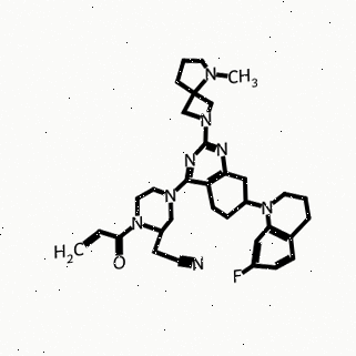 C=CC(=O)N1CCN(c2nc(N3CC4(CCCN4C)C3)nc3c2CCC(N2CCCc4ccc(F)cc42)C3)CC1CC#N